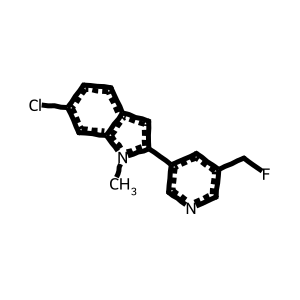 Cn1c(-c2cncc(CF)c2)cc2ccc(Cl)cc21